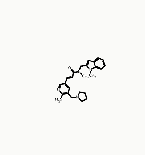 CN(Cc1cc2ccccc2n1C)C(=O)C=Cc1cnc(N)c(CN2CCCC2)c1